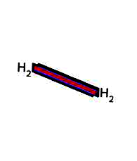 N/N=N/N=N/N=N/N=N/N=N/N=N/N=N/N=N/N=N/N=N/N=N/N=N/N=N/N=N/N=N/N=N/N=N/N=N/N=N/N=N/N=N/N=N/N=N/N=N/N=N/N=N/N=N/N=N/N=N/N=N/N=N/N=N/N=N/N=N/N=N/N=N/N=N/N=N/N=N/N=N/N=N/N=N/N=N/N=N/N=N/N=N/N=N/N=N/N=N/N=N/N=N/N=N/N=N/N=N/N=N/N=N/N=N/N=N/N=N/N=N/N=N/N=N/N=N/N=N/N